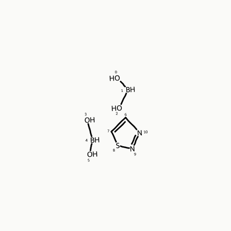 OBO.OBO.c1csnn1